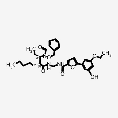 CCCCC[C@@H](C(=O)NCNC(=O)c1ccc(-c2cc(O)cc(OCC)c2)o1)[C@@H](CC)N(C=O)OCc1ccccc1